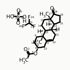 CC(=O)O[C@H]1CC[C@@]2(C)C(=CC[C@@H]3[C@@H]2CC[C@]2(C)C(=O)CC[C@@H]32)C1.FC(F)F.O=S(=O)(O)O